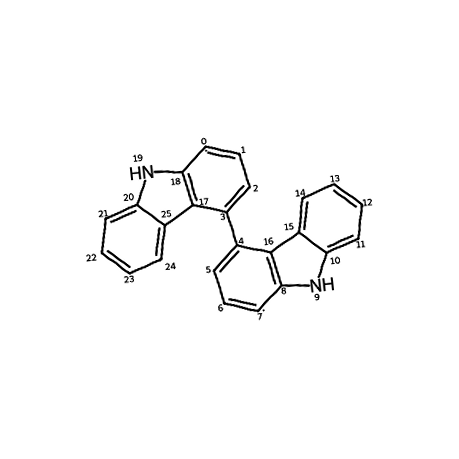 [c]1ccc(-c2cc[c]c3[nH]c4ccccc4c23)c2c1[nH]c1ccccc12